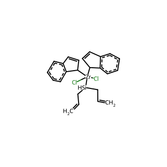 C=CC[SiH](CC=C)[Zr]([Cl])([Cl])([CH]1C=Cc2ccccc21)[CH]1C=Cc2ccccc21